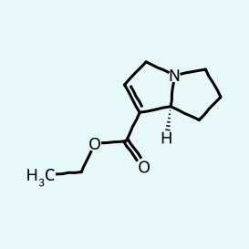 CCOC(=O)C1=CCN2CCC[C@@H]12